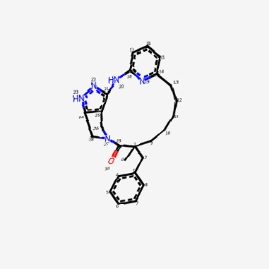 CC1(Cc2ccccc2)CCCCCc2cccc(n2)Nc2n[nH]c3c2CN(C3)C1=O